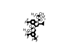 COC(=O)N(Cc1cc(C(F)(F)F)cc(C(F)(F)F)c1)C1CC(C2CC2)N(C(=O)OC(C)(C)C)c2ccc(C(F)(F)F)cc21